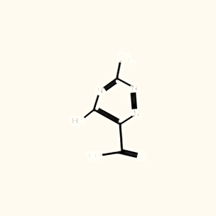 Cc1nnc(C(=O)O)c(S)n1